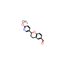 COc1ccc(C2CCc3cc(C=O)ccc3O2)cn1